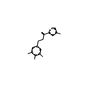 Cc1c[nH]c(C(=O)CCc2cc(C(C)(C)C)c(O)c(C(C)(C)C)c2)c1